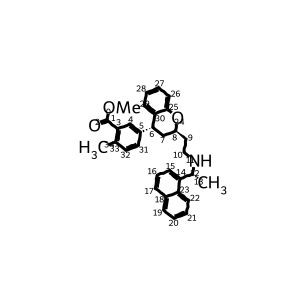 COC(=O)c1cc([C@H]2C[C@H](CCN[C@H](C)c3cccc4ccccc34)Oc3ccccc32)ccc1C